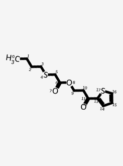 CCCCSCC(=O)OCCC(=O)c1cccs1